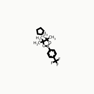 C1CCCC1.CC1(C)OB(c2ccc(C(F)(F)F)cc2)OC1(C)C